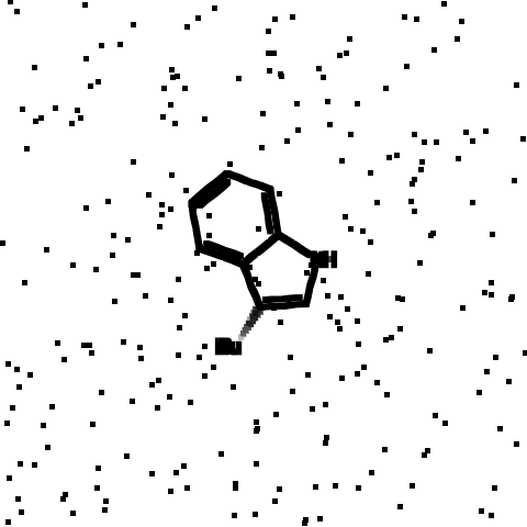 CC[C@@H](C)c1c[nH]c2ccccc12